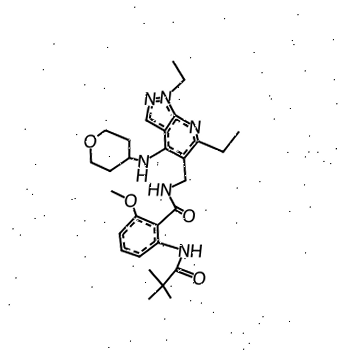 CCc1nc2c(cnn2CC)c(NC2CCOCC2)c1CNC(=O)c1c(NC(=O)C(C)(C)C)cccc1OC